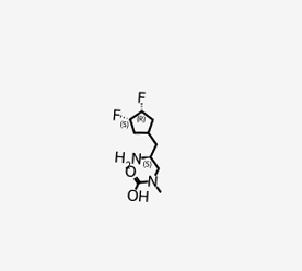 CN(C[C@@H](N)CC1C[C@@H](F)[C@@H](F)C1)C(=O)O